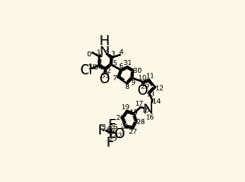 Cc1[nH]c(C)c(-c2ccc(-c3ccc(CN(C)Cc4ccc(OC(F)(F)F)cc4)o3)cc2)c(=O)c1Cl